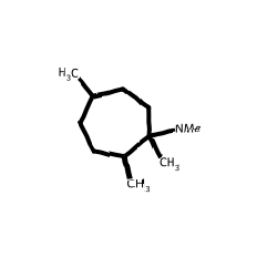 CNC1(C)CCC(C)CCC1C